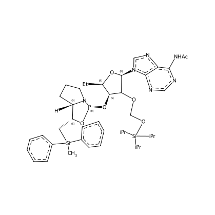 CC[C@H]1O[C@@H](n2cnc3c(NC(C)=O)ncnc32)C(OCO[Si](C(C)C)(C(C)C)C(C)C)[C@H]1O[P@@]1O[C@H](C[Si](C)(c2ccccc2)c2ccccc2)[C@@H]2CCCN21